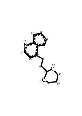 c1ccc2c(CCC3OCCCO3)ccnc2c1